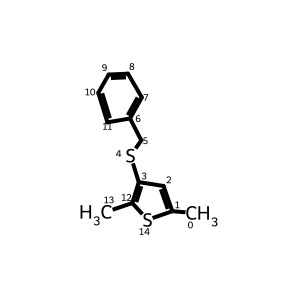 Cc1cc(SCc2ccccc2)c(C)s1